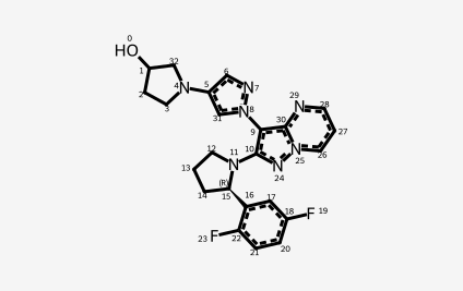 OC1CCN(c2cnn(-c3c(N4CCC[C@@H]4c4cc(F)ccc4F)nn4cccnc34)c2)C1